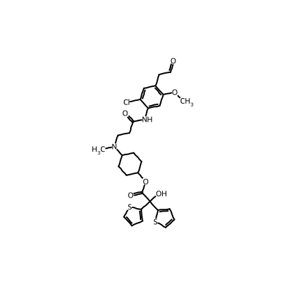 COc1cc(NC(=O)CCN(C)C2CCC(OC(=O)C(O)(c3cccs3)c3cccs3)CC2)c(Cl)cc1CC=O